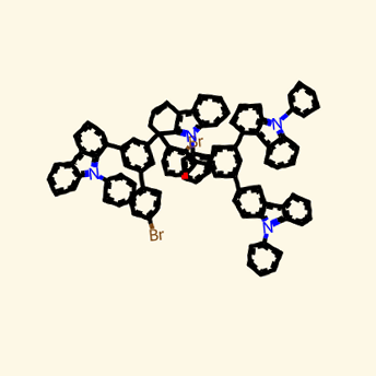 Brc1ccc(-c2cc(-c3cccc4c5ccccc5n(-c5ccccc5)c34)cc(C3(c4cccc(-c5cc(-c6ccc7c(c6)c6ccccc6n7-c6ccccc6)cc(-c6cccc7c6c6ccccc6n7-c6ccccc6)c5)c4Br)CC=Cc4c3n(-c3ccccc3)c3ccccc43)c2)cc1